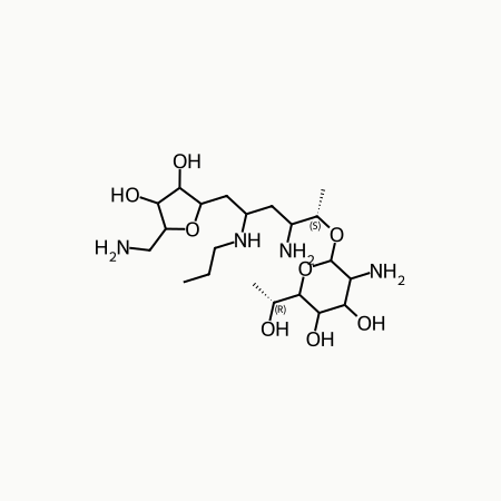 CCCNC(CC1OC(CN)C(O)C1O)CC(N)[C@H](C)OC1OC([C@@H](C)O)C(O)C(O)C1N